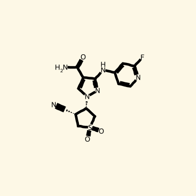 N#C[C@H]1CS(=O)(=O)C[C@H]1n1cc(C(N)=O)c(Nc2ccnc(F)c2)n1